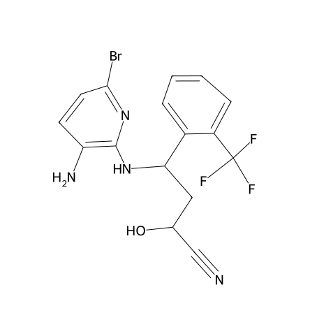 N#CC(O)CC(Nc1nc(Br)ccc1N)c1ccccc1C(F)(F)F